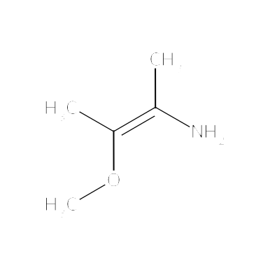 CO/C(C)=C(/C)N